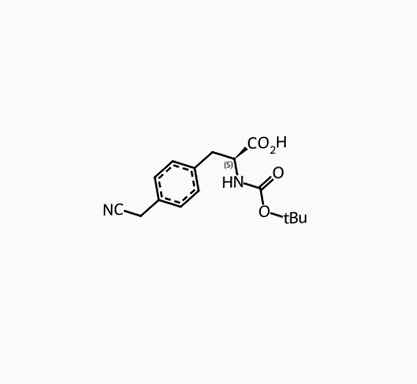 CC(C)(C)OC(=O)N[C@@H](Cc1ccc(CC#N)cc1)C(=O)O